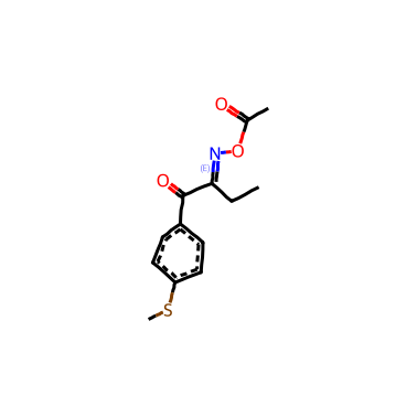 CC/C(=N\OC(C)=O)C(=O)c1ccc(SC)cc1